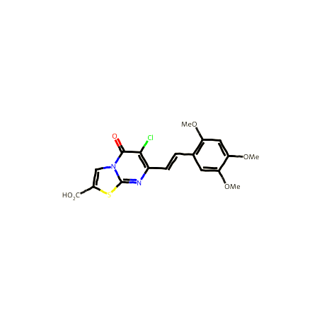 COc1cc(OC)c(OC)cc1/C=C/c1nc2sc(C(=O)O)cn2c(=O)c1Cl